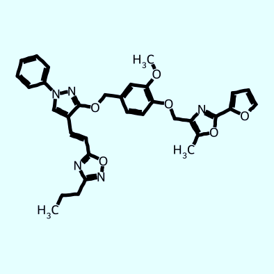 CCCc1noc(/C=C/c2cn(-c3ccccc3)nc2OCc2ccc(OCc3nc(-c4ccco4)oc3C)c(OC)c2)n1